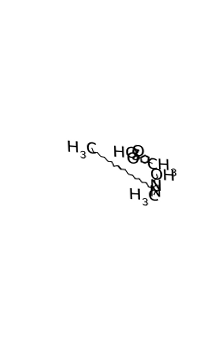 CCCCCCCCC=CCCCCCCCCC1N(C)CCN1CCO.Cc1ccc(S(=O)(=O)O)cc1